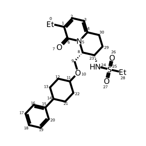 CCc1ccc2n(c1=O)[C@@H](COC1CCC(c3ccccc3)CC1)[C@@H](NS(=O)(=O)CC)CC2